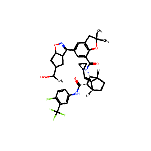 CC(O)C1CC2ON=C(c3cc4c(c(C(=O)N[C@H]5[C@@H](C(=O)Nc6ccc(F)c(C(F)(F)F)c6)[C@H]6CC[C@@H]5/C6=C\C5CC5)c3)OC(C)(C)C4)C2C1